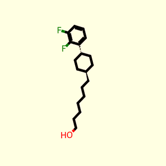 OCCCCCCC[C@H]1CC[C@H](c2cccc(F)c2F)CC1